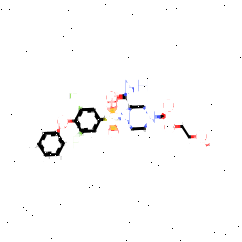 COCCOC(=O)N1CCN(S(=O)(=O)c2cc(F)c(Oc3ccccc3)c(F)c2)[C@@H](C(N)=O)C1